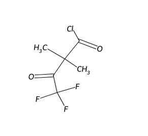 CC(C)(C(=O)Cl)C(=O)C(F)(F)F